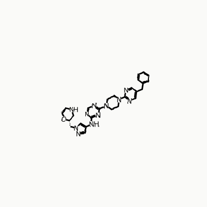 c1ccc(Cc2cnc(N3CCN(c4ncnc(Nc5cnn(C[C@H]6CNCCO6)c5)n4)CC3)nc2)cc1